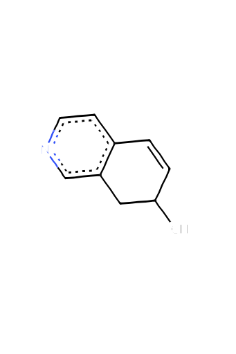 CC1C=Cc2ccncc2C1